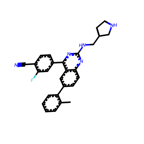 Cc1ccccc1-c1ccc2nc(NCC3CCNC3)nc(-c3ccc(C#N)c(F)c3)c2c1